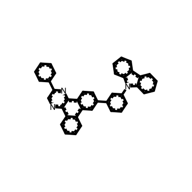 c1ccc(-c2cnc3c4ccccc4c4cc(-c5cccc(-n6c7ccccc7c7ccccc76)c5)ccc4c3n2)cc1